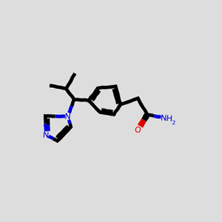 CC(C)C(c1ccc(CC(N)=O)cc1)n1ccnc1